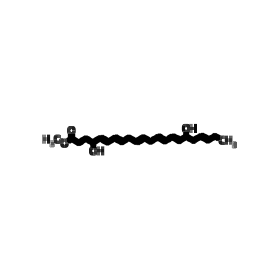 CC/C=C/CC(O)/C=C/C=C/C/C=C/C/C=C/C=C/C(O)CCC(=O)OC